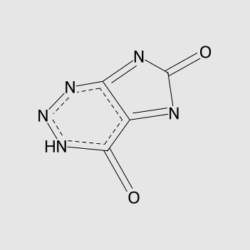 O=C1N=c2nn[nH]c(=O)c2=N1